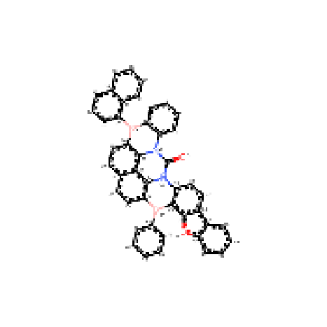 O=C1N2c3ccccc3B(c3cccc4ccccc34)c3ccc4ccc5c(c4c32)N1c1ccc2c(oc3ccccc32)c1B5c1ccccc1